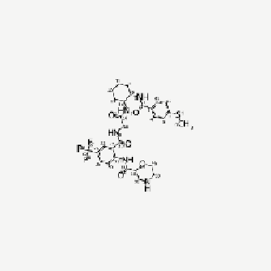 CSc1ccc(C(=O)NC2CCCCC2NC(=O)CNC(=O)c2cc(C(F)(F)F)ccc2NC(=O)C2CNCCO2)cc1